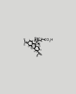 CCOP(=O)(C1=C2C=CC(N(C)C)C=C2Oc2cc(N(C)C)ccc21)N(C)CCC(=O)O